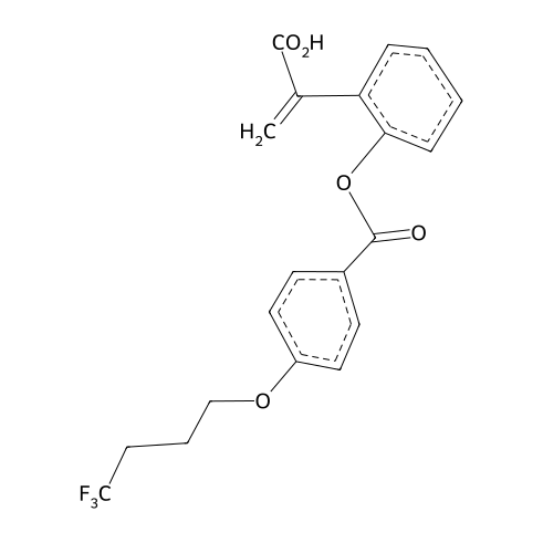 C=C(C(=O)O)c1ccccc1OC(=O)c1ccc(OCCCC(F)(F)F)cc1